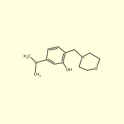 CN(C)c1ccc(CN2CCOCC2)c(O)c1